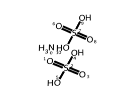 N.O=S(=O)(O)O.O=S(=O)(O)O